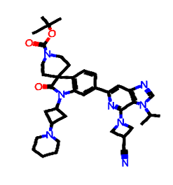 CC(C)n1cnc2cc(-c3ccc4c(c3)N(C3CC(N5CCCCC5)C3)C(=O)C43CCN(C(=O)OC(C)(C)C)CC3)nc(N3CC(C#N)C3)c21